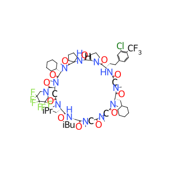 CC[C@H](C)[C@@H]1NC(=O)[C@H](CC(C)C)N(C)C(=O)C[C@@H](C(=O)N2CC(F)(F)C(F)(F)C(F)(F)C2)N(C)C(=O)[C@H](C2CCCCC2)N(C)C(=O)C2(CCCC2)NC(=O)[C@@H]2CCCN2C(=O)[C@H](CCc2ccc(C(F)(F)F)c(Cl)c2)NC(=O)CN(C)C(=O)[C@H](CC2CCCCC2)N(C)C(=O)CN(C)C(=O)CN(C)C1=O